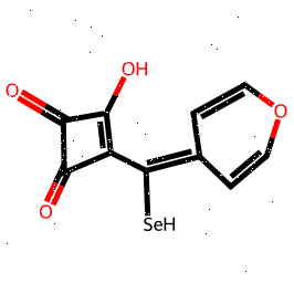 O=c1c(O)c(C([SeH])=C2C=COC=C2)c1=O